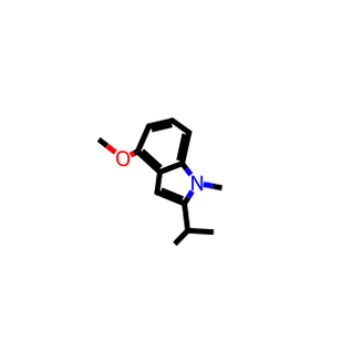 COc1cccc2c1cc(C(C)C)n2C